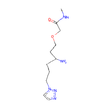 CNC(=O)COCCC(N)CCCn1ccnn1